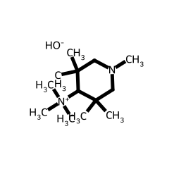 CN1CC(C)(C)C([N+](C)(C)C)C(C)(C)C1.[OH-]